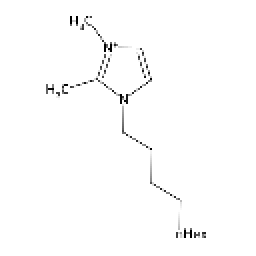 CCCCCCCCCCn1cc[n+](C)c1C